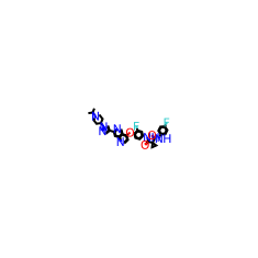 CC(C)N1CCC(n2cc(-c3cc4nccc(Oc5ccc(NC(=O)C6(C(=O)Nc7ccc(F)cc7)CC6)cc5F)c4cn3)cn2)CC1